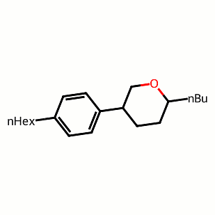 CCCCCCc1ccc(C2CCC(CCCC)OC2)cc1